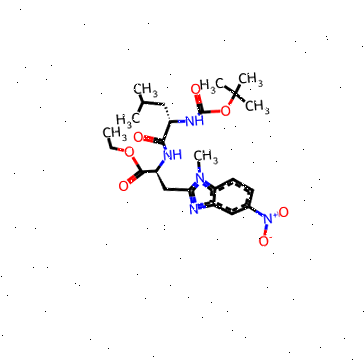 CCOC(=O)[C@H](Cc1nc2cc([N+](=O)[O-])ccc2n1C)NC(=O)[C@H](CC(C)C)NC(=O)OC(C)(C)C